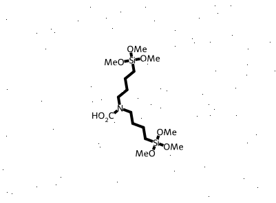 CO[Si](CCCCN(CCCC[Si](OC)(OC)OC)C(=O)O)(OC)OC